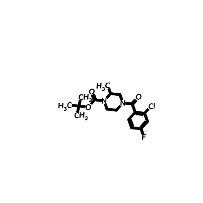 CC1CN(C(=O)c2ccc(F)cc2Cl)CCN1C(=O)OC(C)(C)C